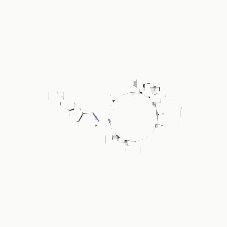 C[C@H]1CCC[C@@]2(C)O[C@H]2C[C@@H](/C(Cl)=C/c2csc(CN)n2)OC(=O)C[C@H](O)C(C)(C)C(=O)[C@H](C)[C@H]1O